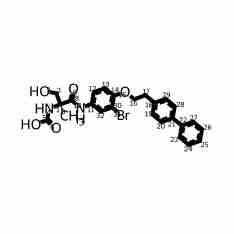 C[C@@](CO)(NC(=O)O)C(=O)Nc1ccc(OCCc2ccc(-c3ccccc3)cc2)c(Br)c1